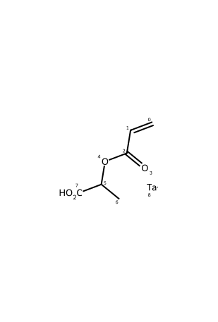 C=CC(=O)OC(C)C(=O)O.[Ta]